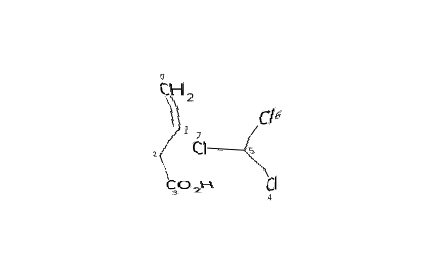 C=CCC(=O)O.ClC(Cl)Cl